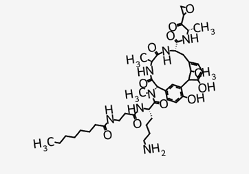 CCCCCCCC(=O)NCCC(=O)N[C@@H](CCCCN)C(=O)N(C)[C@@H]1C(=O)N[C@@H](C)C(=O)N[C@H](C(=O)N[C@@H](C)C(=O)C2CO2)CC2=CC=C(O)C(c3cc1ccc3O)C2C